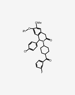 COc1cc2c(cc1OC(C)C)C(c1ccc(Cl)cc1)N(C1CCC(C(=O)c3cccc(F)c3)CC1)C(=O)C2